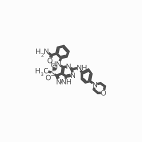 CS(=O)(=O)c1n[nH]c2nc(Nc3ccc(N4CCOCC4)cc3)nc(Nc3ccccc3C(N)=O)c12